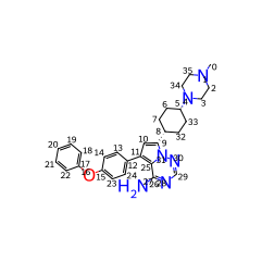 CN1CCN([C@H]2CC[C@@H](c3cc(-c4ccc(Oc5ccccc5)cc4)c4c(N)ncnn43)CC2)CC1